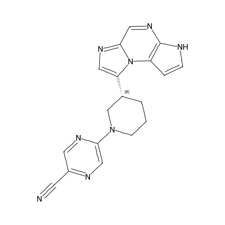 N#Cc1cnc(N2CCC[C@@H](c3cnc4cnc5[nH]ccc5n34)C2)cn1